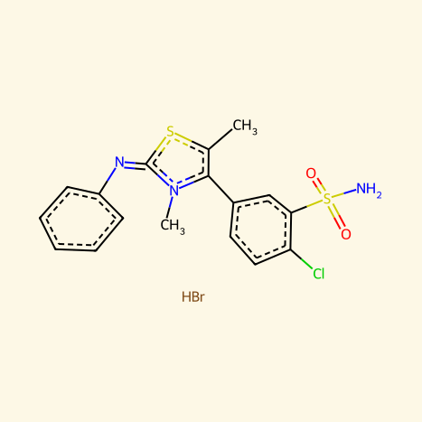 Br.Cc1sc(=Nc2ccccc2)n(C)c1-c1ccc(Cl)c(S(N)(=O)=O)c1